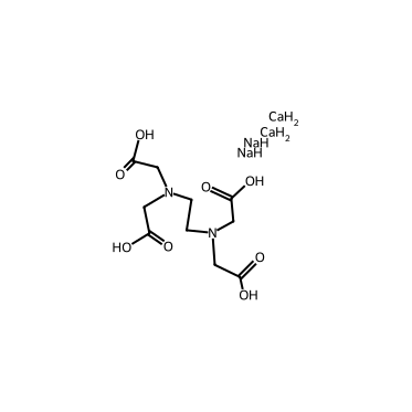 O=C(O)CN(CCN(CC(=O)O)CC(=O)O)CC(=O)O.[CaH2].[CaH2].[NaH].[NaH]